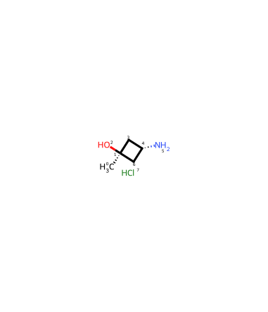 C[C@]1(O)C[C@H](N)C1.Cl